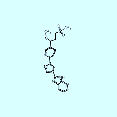 COC(CCS(C)(=O)=O)c1ccc(-n2cc(-c3nc4cccnc4[nH]3)cn2)nc1